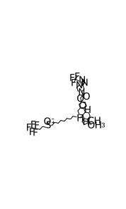 C[C@]12CC[C@@H]3c4ccc(OC(=O)N5CCn6c(nnc6C(F)(F)F)C5)cc4C[C@@H](CCCCCCCCC[S+]([O-])CCCC(F)(F)C(F)(F)F)[C@H]3[C@@H]1CC[C@@H]2O